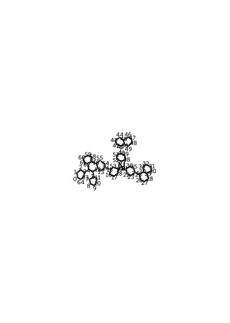 c1ccc(-c2c(-c3ccccc3)c3cc(-c4cccc(N(c5ccc(-c6cccc7ccccc67)cc5)c5ccc(-c6cccc7ccccc67)cc5)c4)ccc3c3ccccc23)cc1